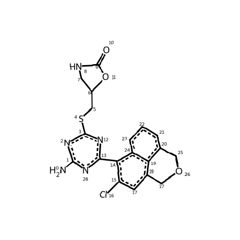 Nc1nc(SCC2CNC(=O)O2)nc(-c2c(Cl)cc3c4c(cccc24)COC3)n1